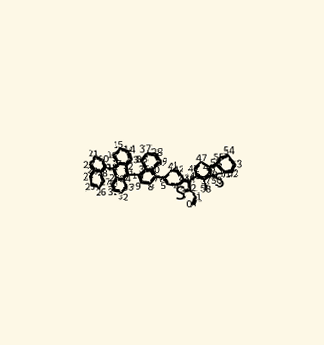 C=Cc1sc2cc(-c3ccc(-c4c5ccccc5c(-c5cccc6ccccc56)c5ccccc45)c4ccccc34)ccc2c1-c1ccc2c(sc3ccccc32)c1C